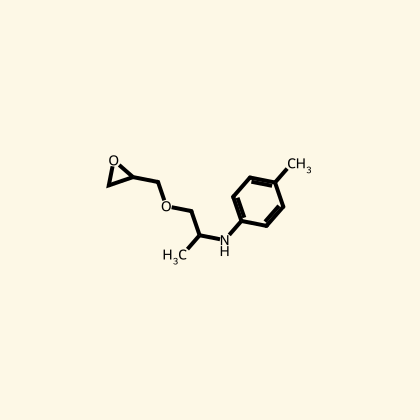 Cc1ccc(NC(C)COCC2CO2)cc1